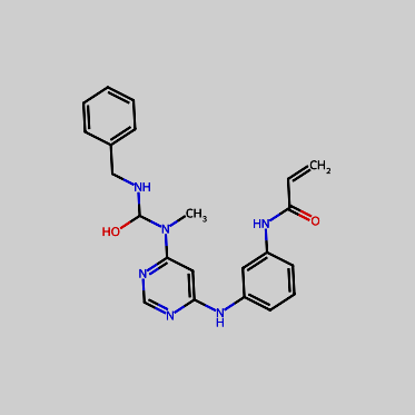 C=CC(=O)Nc1cccc(Nc2cc(N(C)C(O)NCc3ccccc3)ncn2)c1